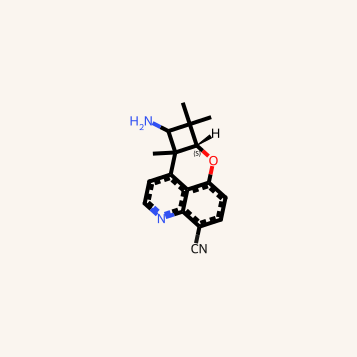 CC1(C)C(N)C2(C)c3ccnc4c(C#N)ccc(c34)O[C@@H]12